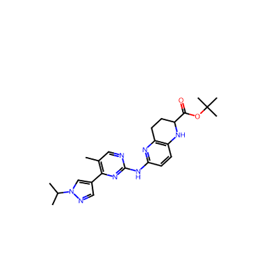 Cc1cnc(Nc2ccc3c(n2)CCC(C(=O)OC(C)(C)C)N3)nc1-c1cnn(C(C)C)c1